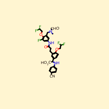 CN(C=O)Cc1cc(NC(=O)CCc2cc(C(Nc3ccc(C#N)cc3)C(=O)O)ccc2OCC(F)F)cc(F)c1OCC(F)F